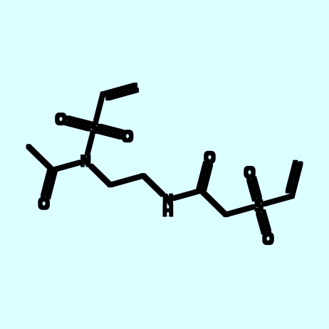 C=CS(=O)(=O)CC(=O)NCCN(C(C)=O)S(=O)(=O)C=C